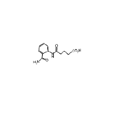 NC(=O)c1ccccc1NC(=O)CCCC(=O)O